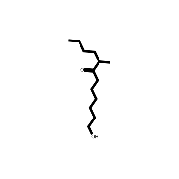 CCCCC(C)C(=O)CCCCCCO